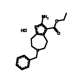 CCOC(=O)c1c(N)sc2c1CCN(Cc1ccccc1)CC2.Cl